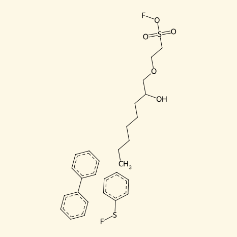 CCCCCCC(O)COCCS(=O)(=O)OF.FSc1ccccc1.c1ccc(-c2ccccc2)cc1